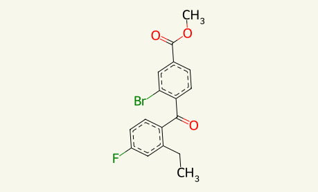 CCc1cc(F)ccc1C(=O)c1ccc(C(=O)OC)cc1Br